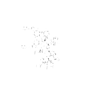 COc1ccc(C(OC[C@]2(CO[Si](C(C)C)(C(C)C)C(C)C)CN(C(C)C)C[C@H](n3cnc4c(=O)[nH]c(NC(=O)C(C)C)nc43)O2)(c2ccccc2)c2ccc(OC)cc2)cc1